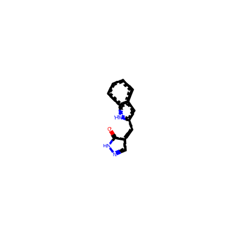 O=C1NN=CC1=Cc1cc2ccccc2[nH]1